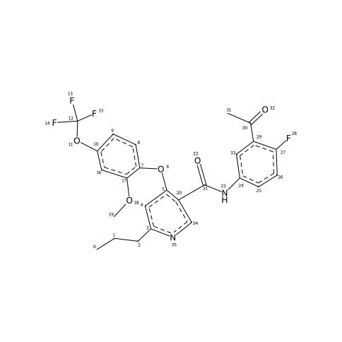 CCCc1cc(Oc2ccc(OC(F)(F)F)cc2OC)c(C(=O)Nc2ccc(F)c(C(C)=O)c2)cn1